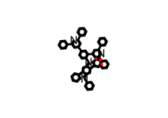 c1ccc(-c2cc(-c3ccc(-n4c5ccccc5c5cc6c(cc54)c4ccccc4n6-c4ccccc4)c(-c4cc(-c5ccccc5)nc(-c5ccccc5)c4)c3)cc(-c3ccccc3)n2)cc1